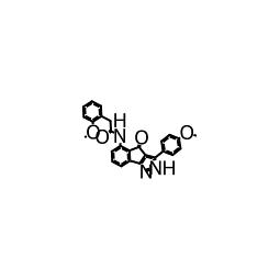 COc1ccc(-c2[nH]nc3c2C(=O)c2c(NC(=O)Cc4ccccc4OC)cccc2-3)cc1